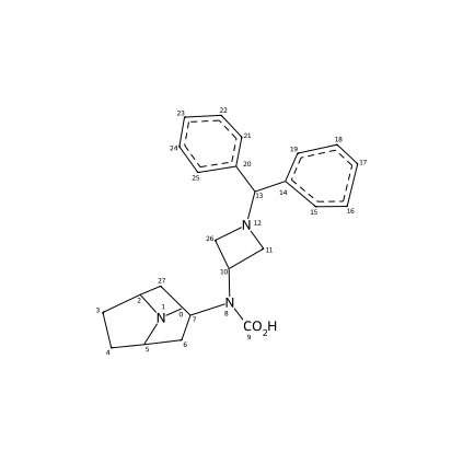 CN1C2CCC1CC(N(C(=O)O)C1CN(C(c3ccccc3)c3ccccc3)C1)C2